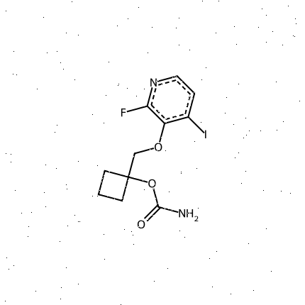 NC(=O)OC1(COc2c(I)ccnc2F)CCC1